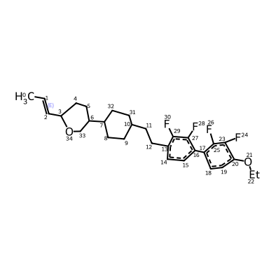 C/C=C/C1CCC(C2CCC(CCc3ccc(-c4ccc(OCC)c(F)c4F)c(F)c3F)CC2)CO1